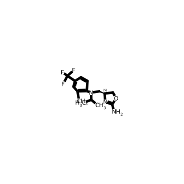 Cc1cc(C(F)(F)F)ccc1N(C[C@H]1COC(N)=N1)C(C)C